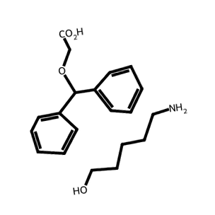 NCCCCCO.O=C(O)COC(c1ccccc1)c1ccccc1